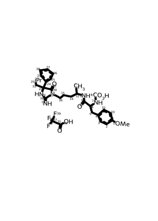 COc1ccc(CC(NC(=O)O)C(=O)NC(C)CCCN2C(=N)NC(CC(C)C)(c3ccccc3)C2=O)cc1.O=C(O)C(F)(F)F